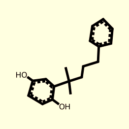 CC(C)(CCCc1ccccc1)c1cc(O)ccc1O